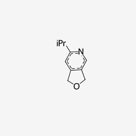 CC(C)c1cc2c(cn1)COC2